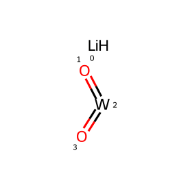 [LiH].[O]=[W]=[O]